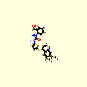 Cc1cc2nccc(Sc3ccc(NC(=O)Nc4ccccc4CO)s3)c2cc1C